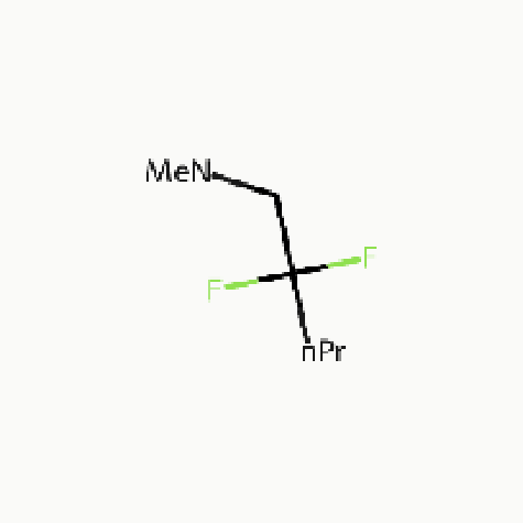 CCCC(F)(F)CNC